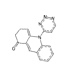 O=C1CCC=C2C1=Cc1ccccc1N2c1ccnnn1